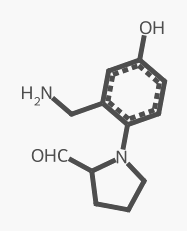 NCc1cc(O)ccc1N1CCCC1C=O